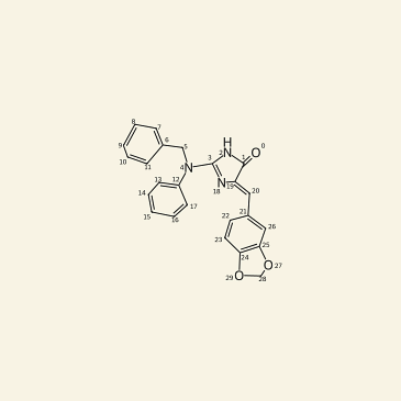 O=C1NC(N(Cc2ccccc2)c2ccccc2)=N/C1=C\c1ccc2c(c1)OCO2